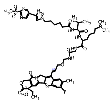 CC[C@@]1(O)C(=O)OCc2c1cc1n(c2=O)Cc2c-1nc1cc(F)c(C)cc1c2/C=C/COCNC(=O)CNC(=O)C(CCCCN(C)C)NC(=O)C(NC(=O)CCCCCn1cc(-c2cnc(S(C)(=O)=O)nc2)nn1)C(C)C